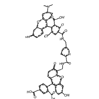 CN(C)c1ccc2c(-c3c(Cl)cc(C(=O)NCc4ccc(C(=O)NCc5c6oc7cc(O)ccc7c(-c7ccc(C(=O)O)cc7C(=O)O)c-6ccc5=O)nc4)c(Cl)c3C(=O)O)c3ccc(=N)cc-3oc2c1